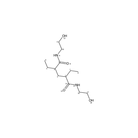 CCC(CC(CC)C(=O)NCCO)C(=O)NCCO